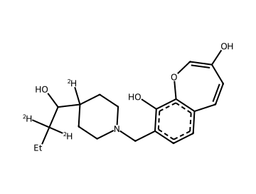 [2H]C([2H])(CC)C(O)C1([2H])CCN(Cc2ccc3c(c2O)OC=C(O)C=C3)CC1